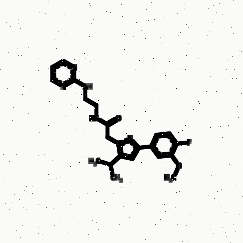 COc1cc(-c2cc(C(C)C)n(CC(=O)NCCNc3ncccn3)n2)ccc1F